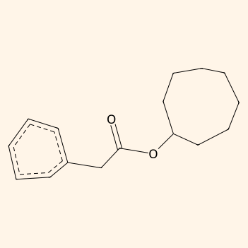 O=C(Cc1ccccc1)OC1CCCCCCC1